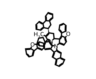 CC1=C([C@@H]2Cc3ccccc3-c3ccccc32)CC(c2c(-n3c4cc5c(cc4c4cc6ccccc6cc43)C=CCC5)ccc3oc4ccccc4c23)N=C1c1ccc2c(c1)oc1ccccc12